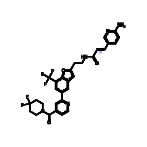 Nc1ccc(/C=C/C(=O)NCCc2cc3cc(-c4cc(C(=O)N5CCC(F)(F)CC5)ccn4)cc(C(F)(F)F)c3o2)cn1